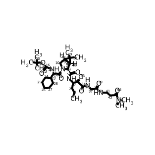 CCCC(NC(=O)[C@@H]1[C@@H]2[C@H](CN1C(=O)[C@@H](NC(=O)OC(C)(C)C)C1CCCCC1)C2(C)C)C(=O)C(=O)NCC(=O)NCCC(=O)N(C)C